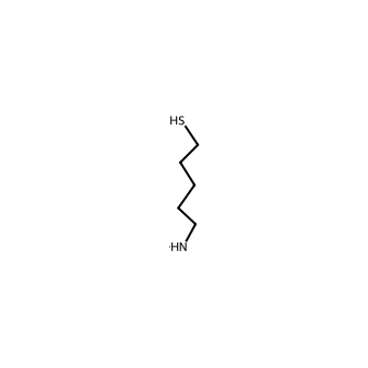 [NH]CCCCCS